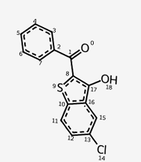 O=C(c1ccccc1)c1sc2ccc(Cl)cc2c1O